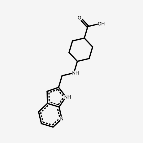 O=C(O)C1CCC(NCc2cc3cccnc3[nH]2)CC1